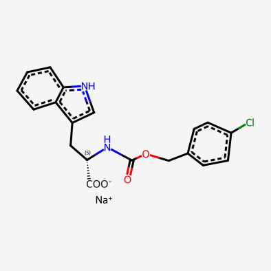 O=C(N[C@@H](Cc1c[nH]c2ccccc12)C(=O)[O-])OCc1ccc(Cl)cc1.[Na+]